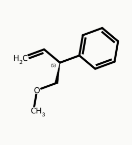 C=C[C@H](COC)c1ccccc1